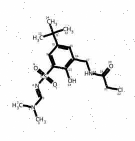 CN(C)/C=N/S(=O)(=O)c1cc(C(C)(C)C)cc(CNC(=O)CCl)c1O